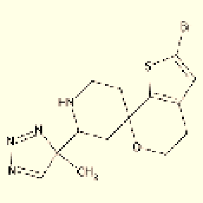 CC1(C2CC3(CCN2)OCCc2cc(Br)sc23)C=NN=N1